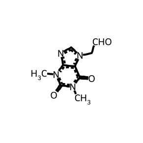 Cn1c(=O)c2c(ncn2CC=O)n(C)c1=O